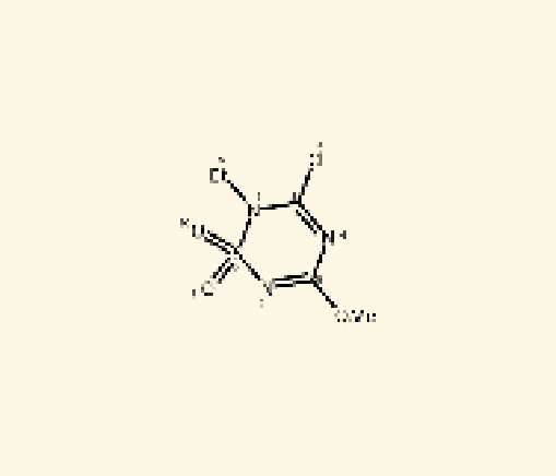 CCN1C(Cl)=NC(OC)=NS1(=O)=O